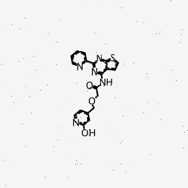 O=C(COCc1ccnc(O)c1)Nc1nc(-c2ccccn2)nc2sccc12